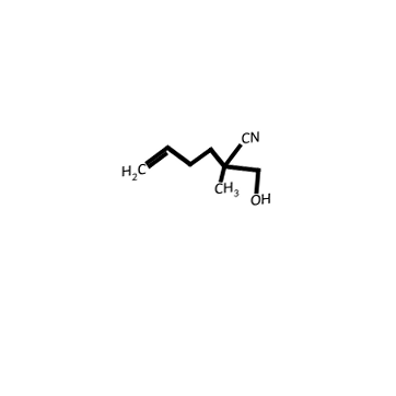 C=CCCC(C)(C#N)CO